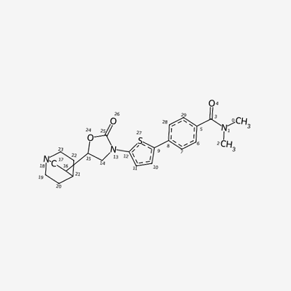 CN(C)C(=O)c1ccc(-c2ccc(N3CC(C4CN5CCC4CC5)OC3=O)s2)cc1